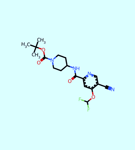 CC(C)(C)OC(=O)N1CCC(NC(=O)c2cc(OC(F)F)c(C#N)cn2)CC1